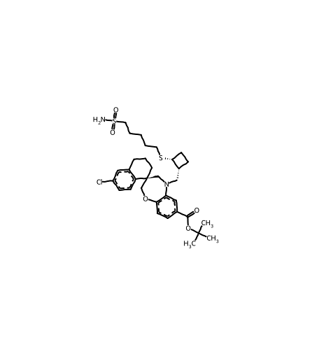 CC(C)(C)OC(=O)c1ccc2c(c1)N(C[C@H]1CC[C@H]1SCCCCCS(N)(=O)=O)C[C@@]1(CCCc3cc(Cl)ccc31)CO2